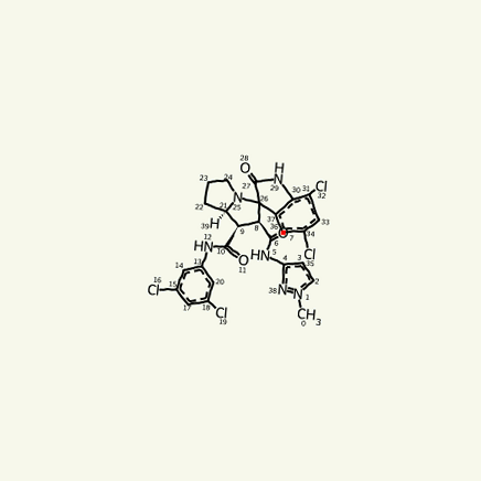 Cn1ccc(NC(=O)[C@H]2[C@@H](C(=O)Nc3cc(Cl)cc(Cl)c3)[C@H]3CCCN3C23C(=O)Nc2c(Cl)cc(Cl)cc23)n1